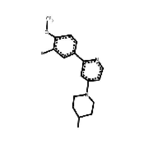 CC1CCN(c2ccnc(-c3ccc(OC(F)(F)F)c(F)c3)c2)CC1